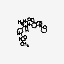 Cc1coc(-c2cc(C(=O)NN(C(N)=O)c3ccc4c(cnn4C4CCCCO4)c3Cl)ccn2)n1